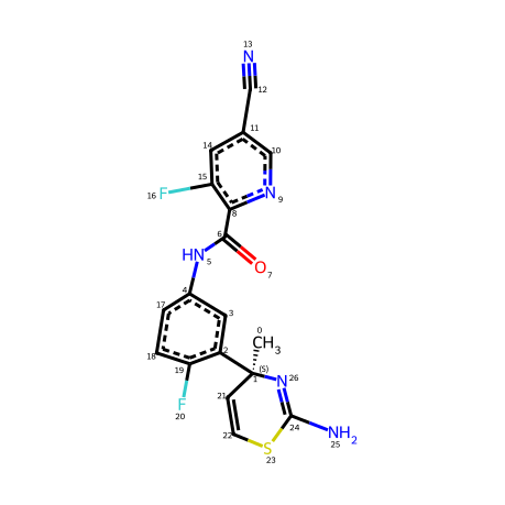 C[C@@]1(c2cc(NC(=O)c3ncc(C#N)cc3F)ccc2F)C=CSC(N)=N1